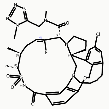 C[C@@H]1[C@@H](C)C/C=C(\F)[C@H](C(=O)N(C)Cc2nnnn2C)N2CCC[C@@]23CN2CCCCc4cc(Cl)cc3c4COc3ccc(cc32)C(=O)NS1(=O)=O